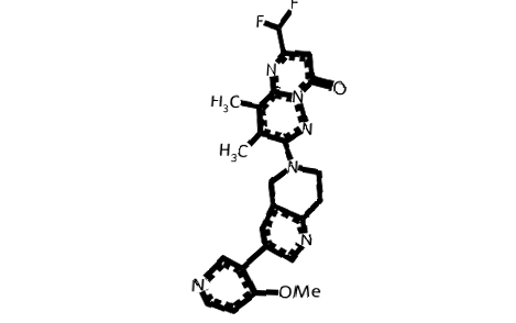 COc1ccncc1-c1cnc2c(c1)CN(c1nn3c(=O)cc(C(F)F)nc3c(C)c1C)CC2